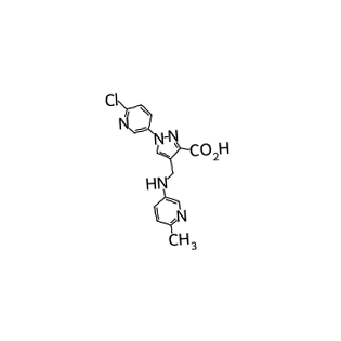 Cc1ccc(NCc2cn(-c3ccc(Cl)nc3)nc2C(=O)O)cn1